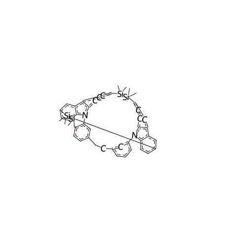 C[Si]1(C)c2ccc3c(c2)c2cc4ccc2n3-c2cccc(c2)CCc2cccc(c2)-n2c3ccc(cc3c3cc(ccc32)[Si](C)(C)[Si]4(C)C)[Si]1(C)C